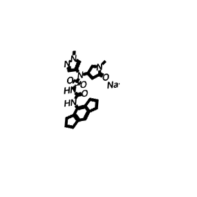 CN1CC(N(c2cnn(C)c2)S(=O)(=O)NC(=O)Nc2c3c(cc4c2CCC4)CCC3)CC1=O.[Na]